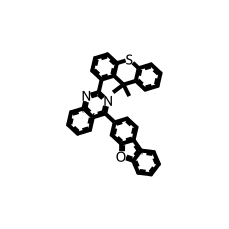 CC1(C)c2ccccc2Sc2cccc(-c3nc(-c4ccc5c(c4)oc4ccccc45)c4ccccc4n3)c21